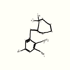 Nc1c(Br)cc(Br)cc1CC1CCCCC1(N)O